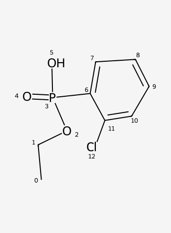 CCOP(=O)(O)c1ccccc1Cl